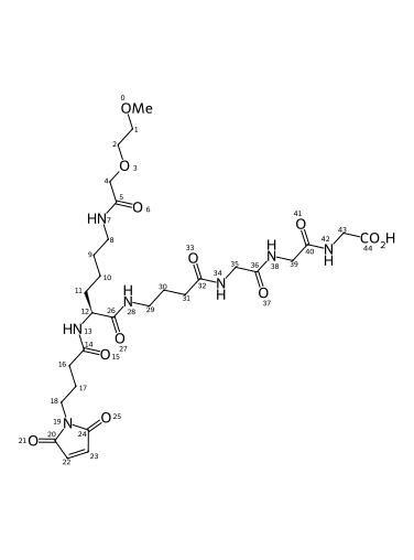 COCCOCC(=O)NCCCC[C@H](NC(=O)CCCN1C(=O)C=CC1=O)C(=O)NCCCC(=O)NCC(=O)NCC(=O)NCC(=O)O